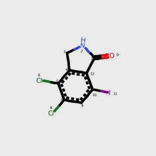 O=C1NCc2c(Cl)c(Cl)cc(I)c21